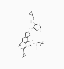 CC(C)(F)CNS(=O)(=O)c1c2c(cc3cnc(C4CC4)cc13)CC(Nc1cncnc1NCC1CC1)C2